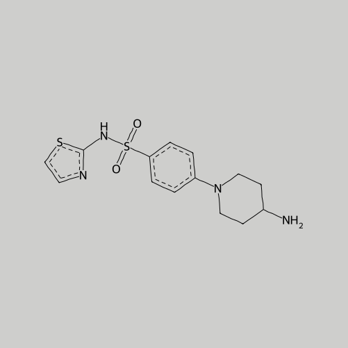 NC1CCN(c2ccc(S(=O)(=O)Nc3nccs3)cc2)CC1